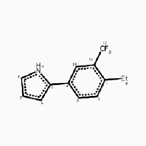 CCc1ccc(-c2ccc[nH]2)cc1C(F)(F)F